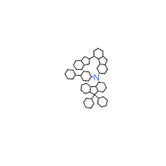 C1CCC(C2CCC(N(C3CCC4CC5CCCC(C6CC7CCCCC7C6)C5C4C3)C3CCCC4C3C3CCCCC3C4(C3CCCCC3)C3CCCCC3)CC2)CC1